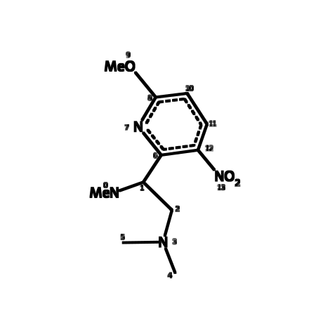 CNC(CN(C)C)c1nc(OC)ccc1[N+](=O)[O-]